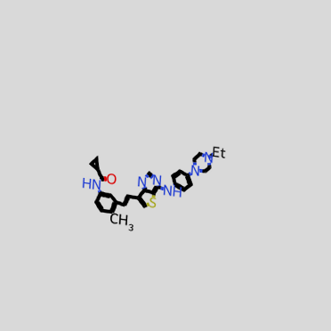 CCN1CCN(c2ccc(Nc3ncnc4c(C=Cc5cc(NC(=O)C6CC6)ccc5C)csc34)cc2)CC1